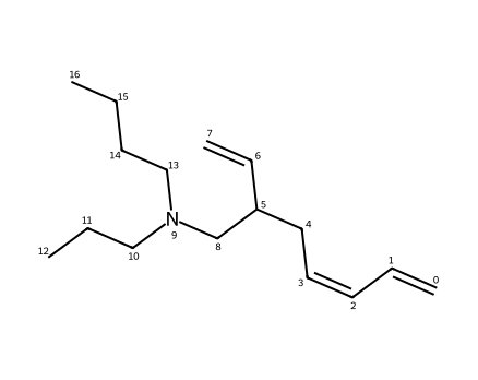 C=C/C=C\CC(C=C)CN(CCC)CCCC